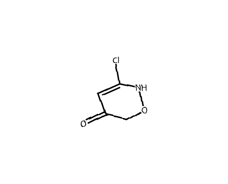 O=C1C=C(Cl)NOC1